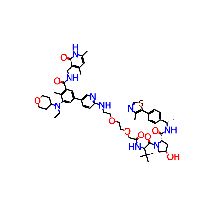 CCN(c1cc(-c2ccc(NCCOCCOCC(=O)NC(C(=O)N3C[C@H](O)C[C@H]3C(=O)N[C@@H](C)c3ccc(-c4scnc4C)cc3)C(C)(C)C)nc2)cc(C(=O)NCc2c(C)cc(C)[nH]c2=O)c1C)C1CCOCC1